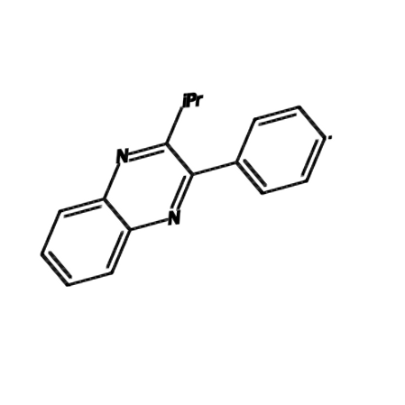 CC(C)c1nc2ccccc2nc1-c1cc[c]cc1